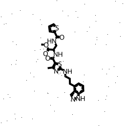 COC(=O)C(CNC(=O)c1cccs1)NC(=O)c1sc(NCCCc2cccc3[nH]ncc23)nc1C